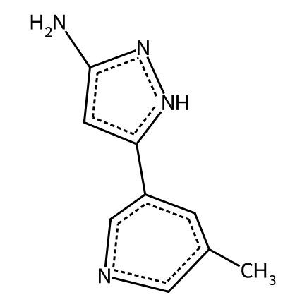 Cc1cncc(-c2cc(N)n[nH]2)c1